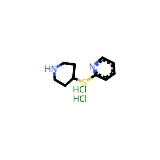 Cl.Cl.c1ccc(SC2CCNCC2)nc1